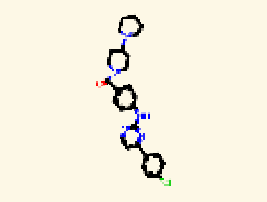 O=C(c1ccc(Nc2nccc(-c3ccc(Cl)cc3)n2)cc1)N1CCC(N2CCCCC2)CC1